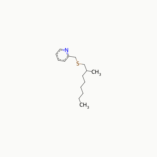 CCCCCCC(C)CSCc1ccccn1